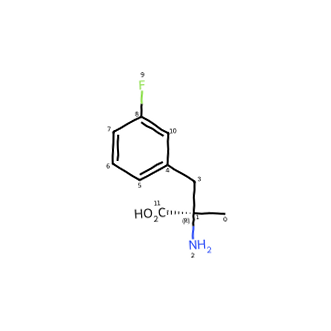 C[C@@](N)(Cc1cccc(F)c1)C(=O)O